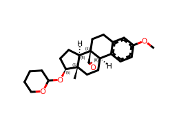 COc1ccc2c(c1)CC[C@]1(C=O)[C@@H]2CC[C@]2(C)[C@@H](OC3CCCCO3)CC[C@H]21